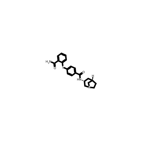 NC(=O)c1ccccc1Sc1ccc(C(=O)N[C@@H]2C[C@@H]3CCN(C3)C2)cc1